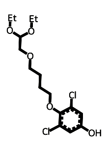 CCOC(COCCCCOc1c(Cl)cc(O)cc1Cl)OCC